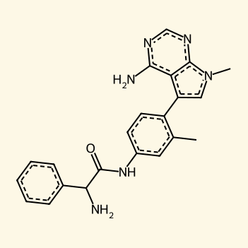 Cc1cc(NC(=O)C(N)c2ccccc2)ccc1-c1cn(C)c2ncnc(N)c12